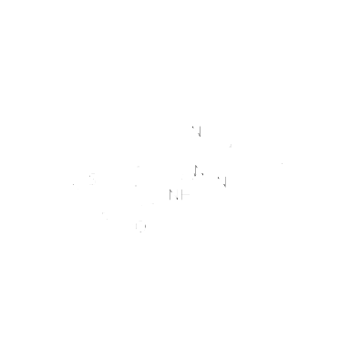 CC(C)c1cc2ncc3cc(-c4cccs4)c(=O)[nH]c3n2n1